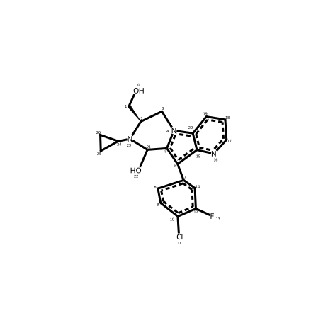 OC[C@H]1Cn2c(c(-c3ccc(Cl)c(F)c3)c3ncccc32)C(O)N1C1CC1